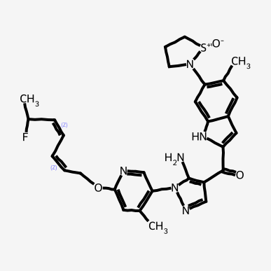 Cc1cc2cc(C(=O)c3cnn(-c4cnc(OC/C=C\C=C/C(C)F)cc4C)c3N)[nH]c2cc1N1CCC[S+]1[O-]